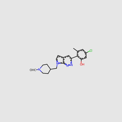 Cc1cc(Cl)cc(O)c1-c1cc2ccn(CC3CCN(C=O)CC3)c2nn1